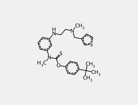 CN(CCNc1cccc(N(C)C(=S)Oc2ccc(C(C)(C)C)cc2)c1)Cc1ccsc1